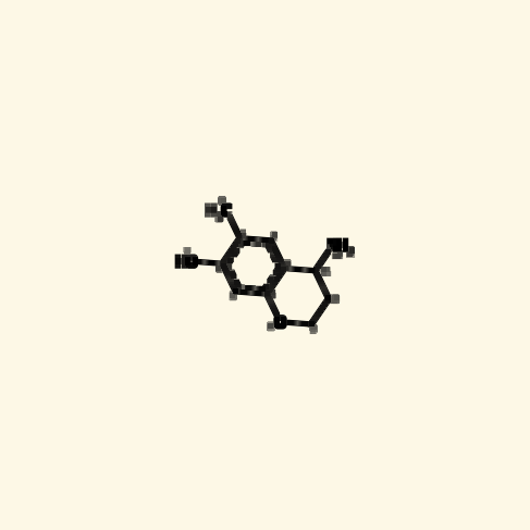 Cc1cc2c(cc1O)OCCC2N